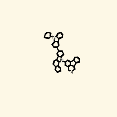 c1ccc(-n2c3ccccc3c3cc(-c4ccc5c(c4)c4ccc6ccccc6c4n5-c4cc5c6c(cncc6c4)-c4ccccc4-5)ccc32)cc1